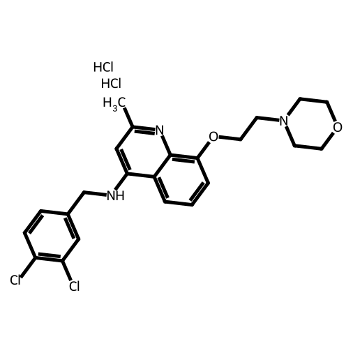 Cc1cc(NCc2ccc(Cl)c(Cl)c2)c2cccc(OCCN3CCOCC3)c2n1.Cl.Cl